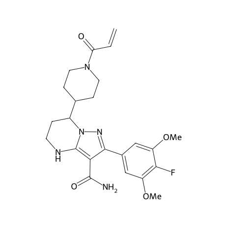 C=CC(=O)N1CCC(C2CCNc3c(C(N)=O)c(-c4cc(OC)c(F)c(OC)c4)nn32)CC1